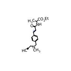 C#CCN(C)Cc1ccc(/C=C/C(=O)NC(C)C(=O)OCC)cc1